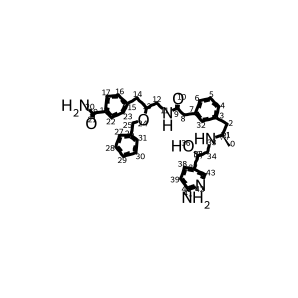 C[C@H](Cc1cccc(CC(=O)NCC(Cc2ccc(C(N)=O)cc2)OCc2ccccc2)c1)NC[C@@H](O)c1ccc(N)nc1